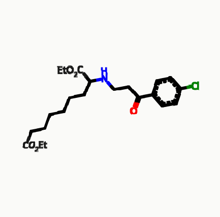 CCOC(=O)CCCCCCC(NCCC(=O)c1ccc(Cl)cc1)C(=O)OCC